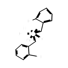 [CH2]=[Co](=[CH2])(=[CH2])(=[NH])(=[NH])(=[CH]c1ccccc1O)=[CH]c1ccccc1O